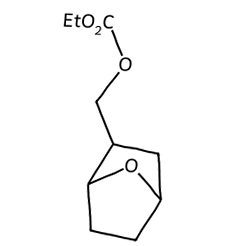 CCOC(=O)OCC1CC2CCC1O2